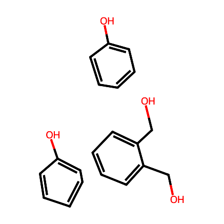 OCc1ccccc1CO.Oc1ccccc1.Oc1ccccc1